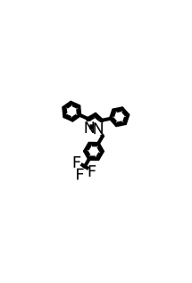 FC(F)(F)c1ccc(Cn2nc(-c3ccccc3)cc2-c2ccccc2)cc1